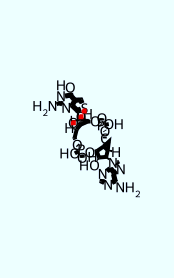 CO[C@H]1[C@H]2OP(=O)(O)OC[C@@]34C[C@@H]3[C@@H](n3cnc5c(N)ncnc53)[C@H](O)[C@@H]4OP(=O)(O)OC[C@H]1O[C@H]2c1scc2c(=O)[nH]c(N)nc12